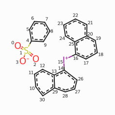 O=S(=O)([O-])c1ccccc1.c1ccc2c([I+]c3cccc4ccccc34)cccc2c1